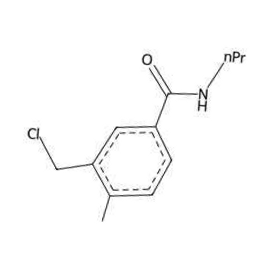 CCCNC(=O)c1ccc(C)c(CCl)c1